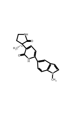 Cn1ccc2cc(-c3ccc([C@@]4(C)CCNC4=O)c(=O)[nH]3)ccc21